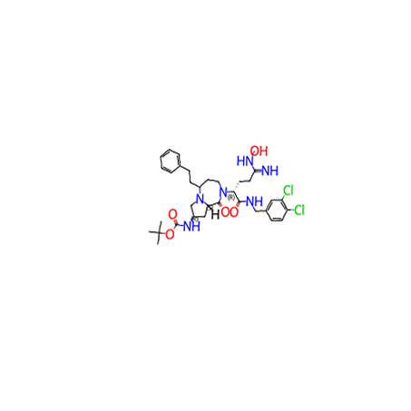 CC(C)(C)OC(=O)N[C@@H]1C[C@H]2C(=O)N([C@H](CCC(=N)NO)C(=O)NCc3ccc(Cl)c(Cl)c3)CCC(CCc3ccccc3)N2C1